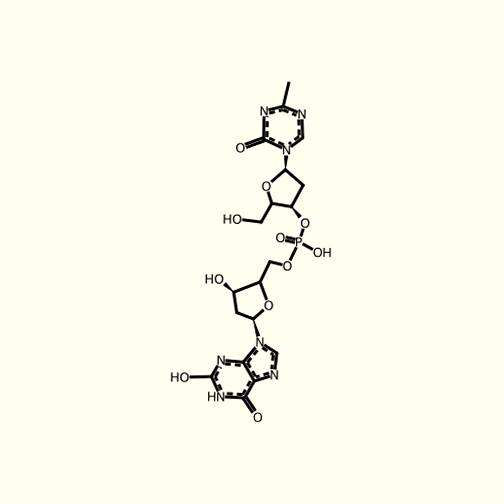 Cc1ncn([C@H]2C[C@@H](OP(=O)(O)OCC3O[C@@H](n4cnc5c(=O)[nH]c(O)nc54)C[C@H]3O)C(CO)O2)c(=O)n1